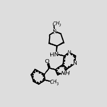 Cc1ccccc1C(=O)c1c[nH]c2ncnc(NC3CCN(C)CC3)c12